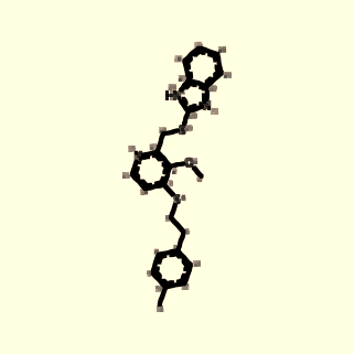 COc1c(SCCc2ccc(C)cc2)ccnc1CSc1nc2ccccc2[nH]1